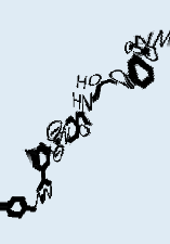 CNS(=O)(=O)c1cccc(OCC(O)CNC2COC3(CCN(S(=O)(=O)c4cccc(-c5cnn(Cc6ccccc6)c5)c4)CC3)C2)c1